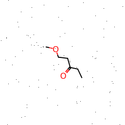 [CH2]OCCC(=O)CC